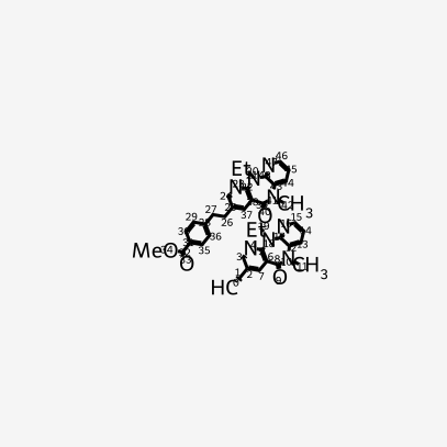 C#Cc1cnc2c(c1)C(=O)N(C)c1cccnc1N2CC.CCN1c2ncc(CCc3ccc(C(=O)OC)cc3)cc2C(=O)N(C)c2cccnc21